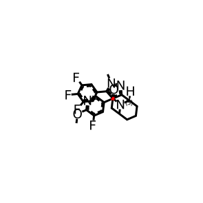 COc1ncc(C(=O)N2C3CCC[C@H]2c2nn(C)c(-c4cc(F)c(F)c(F)c4)c2C3)cc1F